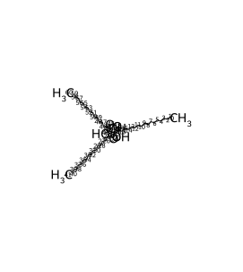 CCCCCCCCC=CCCCCCCCC(=O)C(O)C(O)(C(=O)CCCCCCCC=CCCCCCCCC)C(O)C(=O)CCCCCCCCCCCCCCC